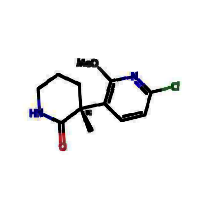 COc1nc(Cl)ccc1[C@@]1(C)CCCNC1=O